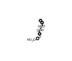 O=C(O)C[C@H]1CC[C@@H](Oc2ccc(C(=O)NCCNC(=O)c3ccc4ccccc4c3)cc2)CC1